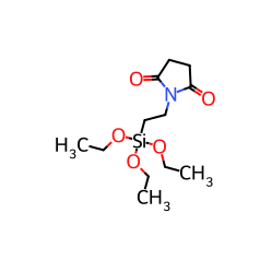 CCO[Si](CCN1C(=O)CCC1=O)(OCC)OCC